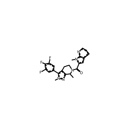 CC1c2nn(C)c(-c3cc(F)c(F)c(F)c3)c2CCN1C(=O)c1cc2cccnc2n1C